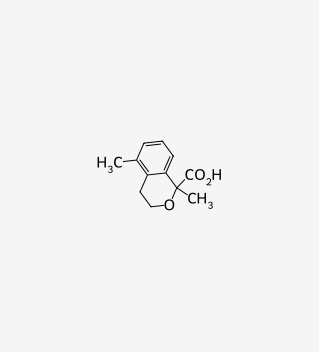 Cc1cccc2c1CCOC2(C)C(=O)O